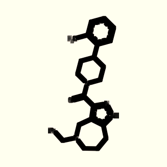 CC(C)CN1CCCc2[nH]nc(C(=O)N3CCC(c4ccccc4C(F)(F)F)CC3)c2C1